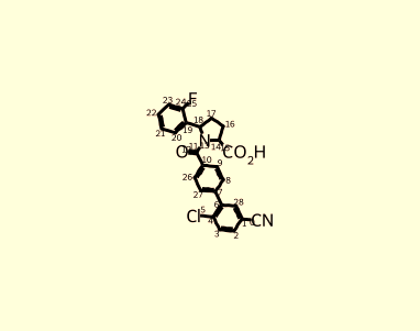 N#Cc1ccc(Cl)c(-c2ccc(C(=O)N3C(C(=O)O)CCC3c3ccccc3F)cc2)c1